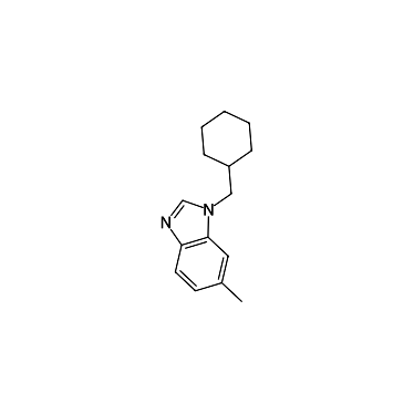 Cc1ccc2ncn(CC3CCCCC3)c2c1